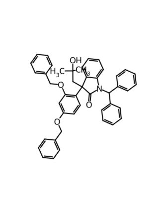 CC(C)(O)CC1(c2ccc(OCc3ccccc3)cc2OCc2ccccc2)C(=O)N(C(c2ccccc2)c2ccccc2)c2ccccc21